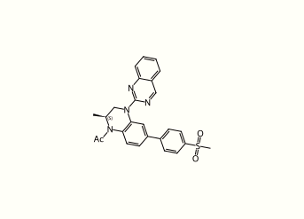 CC(=O)N1c2ccc(-c3ccc(S(C)(=O)=O)cc3)cc2N(c2ncc3ccccc3n2)C[C@@H]1C